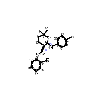 Cc1ccc(/N=C2\SC(C)(C)CC\C2=C/Sc2ccccc2F)cc1